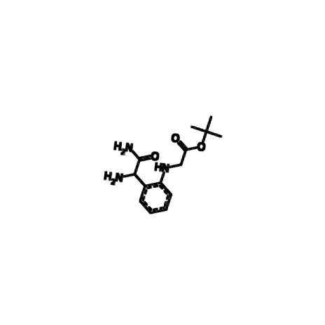 CC(C)(C)OC(=O)CNc1ccccc1C(N)C(N)=O